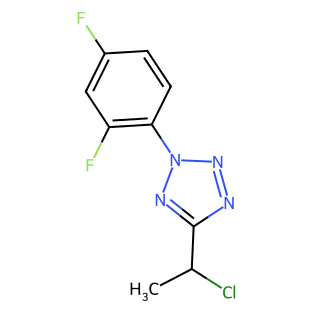 CC(Cl)c1nnn(-c2ccc(F)cc2F)n1